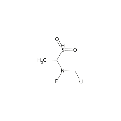 CC(N(F)CCl)[SH](=O)=O